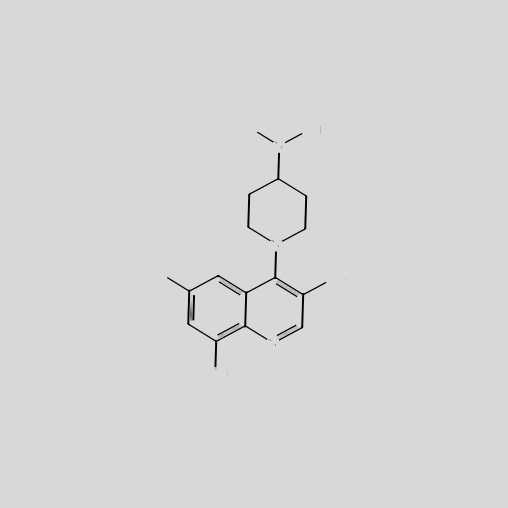 CCOC(=O)c1cnc2c(C)cc(C)cc2c1N1CCC(N(C)C)CC1